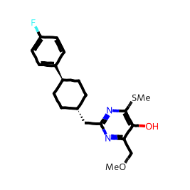 COCc1nc(C[C@H]2CC[C@H](c3ccc(F)cc3)CC2)nc(SC)c1O